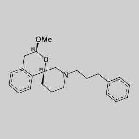 CO[C@@H]1Cc2ccccc2[C@]2(CCCN(CCCc3ccccc3)C2)O1